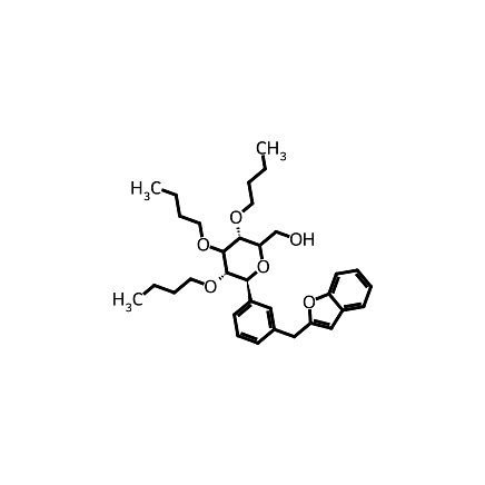 CCCCOC1[C@H](OCCCC)C(CO)O[C@@H](c2cccc(Cc3cc4ccccc4o3)c2)[C@@H]1OCCCC